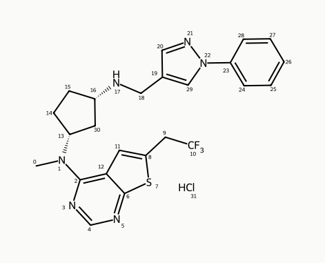 CN(c1ncnc2sc(CC(F)(F)F)cc12)[C@@H]1CC[C@H](NCc2cnn(-c3ccccc3)c2)C1.Cl